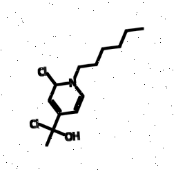 CCCCCCN1C=CC(C(C)(O)Cl)=CC1Cl